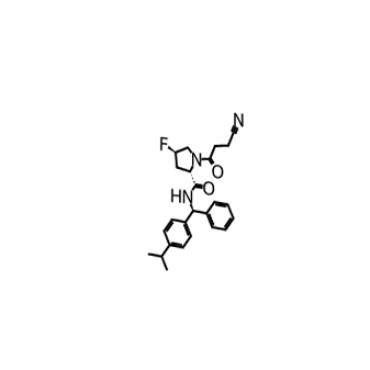 CC(C)c1ccc([C@@H](NC(=O)[C@@H]2C[C@@H](F)CN2C(=O)CCC#N)c2ccccc2)cc1